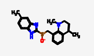 CC1=CCN(C)c2c(C[S+]([O-])c3nc4cc(C)ccc4[nH]3)cccc21